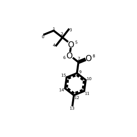 CCC(C)(C)OOC(=O)c1ccc(C)cc1